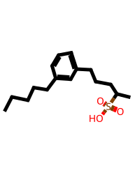 CCCCCc1cccc(CCCC(C)S(=O)(=O)O)c1